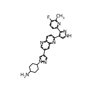 Cc1nc(-c2n[nH]cc2-c2ccc3ncc(-c4cnn(C5CCC(N)CC5)c4)cc3n2)ccc1F